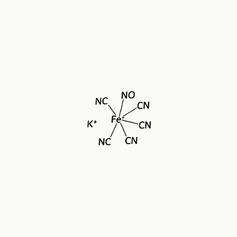 N#[C][Fe-]([C]#N)([C]#N)([C]#N)([C]#N)[N]=O.[K+]